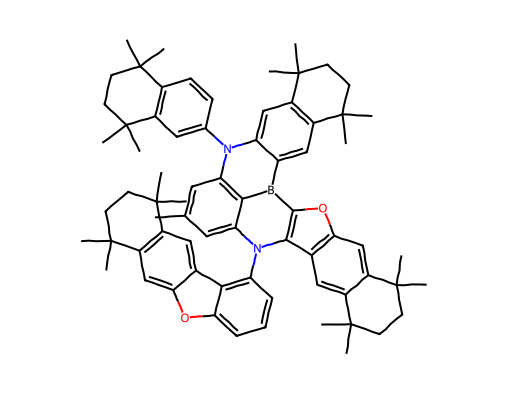 Cc1cc2c3c(c1)N(c1cccc4oc5cc6c(cc5c14)C(C)(C)CCC6(C)C)c1c(oc4cc5c(cc14)C(C)(C)CCC5(C)C)B3c1cc3c(cc1N2c1ccc2c(c1)C(C)(C)CCC2(C)C)C(C)(C)CCC3(C)C